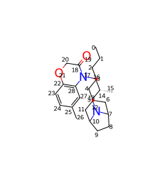 CCCCCC1CC2CCC(C1)N2C[C@@H](C)CN1C(=O)COc2ccc(C)cc21